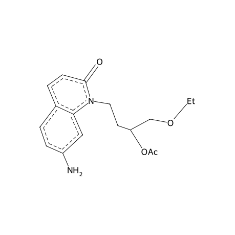 CCOCC(CCn1c(=O)ccc2ccc(N)cc21)OC(C)=O